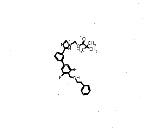 CC(C)(C)C(=O)OCn1cnc(-c2cccc(-c3cc(F)c(CNCCc4ccccc4)c(F)c3)c2)n1